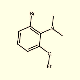 CCOc1cccc(Br)c1N(C)C